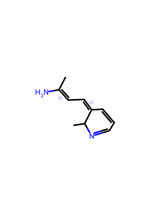 C/C(N)=C\C=C1\C=CC=NC1C